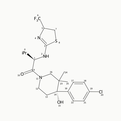 CC(C)[C@@H](NC1=NC(C(F)(F)F)CS1)C(=O)N1CC[C@](O)(c2ccc(Cl)cc2)C(C)(C)C1